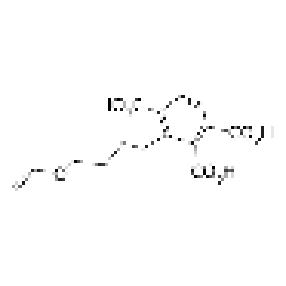 C=COCCCCc1c(C(=O)O)ccc(C(=O)O)c1C(=O)O